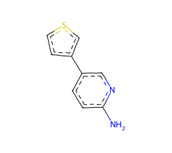 Nc1ccc(-c2ccsc2)cn1